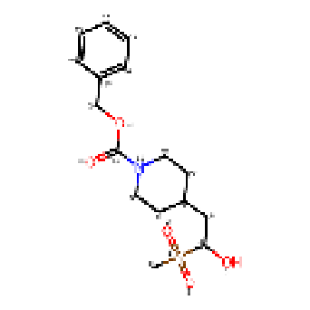 CS(=O)(=O)C(O)CC1CCN(C(=O)OCc2ccccc2)CC1